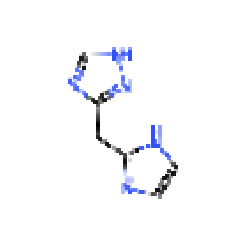 c1c[nH]c(Cc2nc[nH]n2)n1